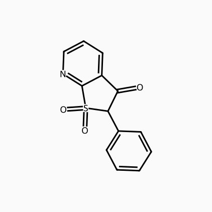 O=C1c2cccnc2S(=O)(=O)C1c1ccccc1